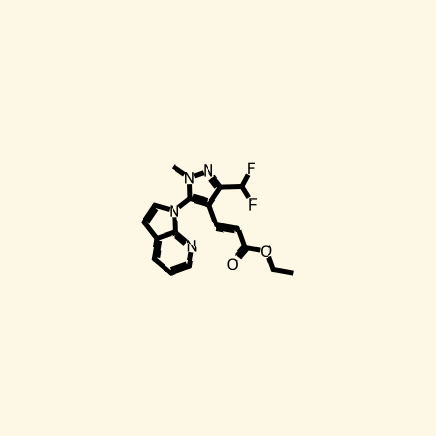 CCOC(=O)/C=C/c1c(C(F)F)nn(C)c1-n1ccc2cccnc21